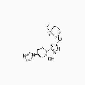 CC[C@@]1(C)CCC[C@@H](Oc2nnc(-c3ccc(-n4ccnc4)cc3O)s2)C1